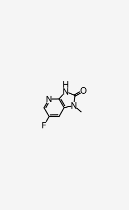 Cn1c(=O)[nH]c2ncc(F)cc21